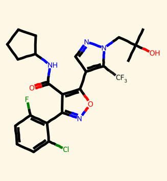 CC(C)(O)Cn1ncc(-c2onc(-c3c(F)cccc3Cl)c2C(=O)NC2CCCC2)c1C(F)(F)F